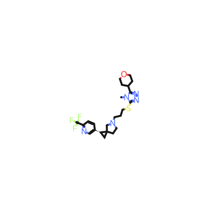 Cn1c(SCCCN2CCC3(C[C@@H]3c3ccc(C(F)(F)F)nc3)C2)nnc1C1CCOCC1